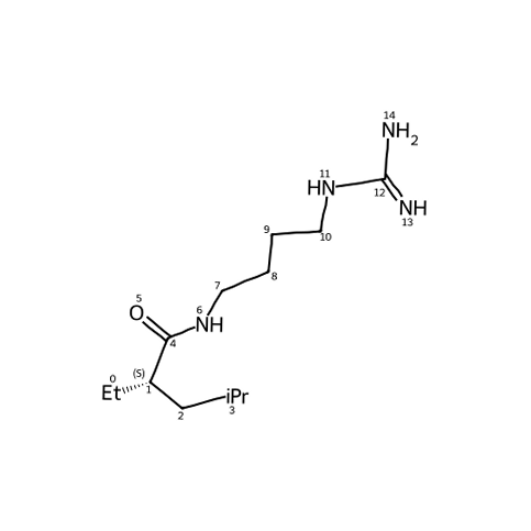 CC[C@@H](CC(C)C)C(=O)NCCCCNC(=N)N